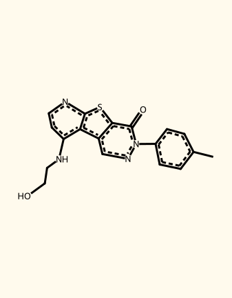 Cc1ccc(-n2ncc3c(sc4nccc(NCCO)c43)c2=O)cc1